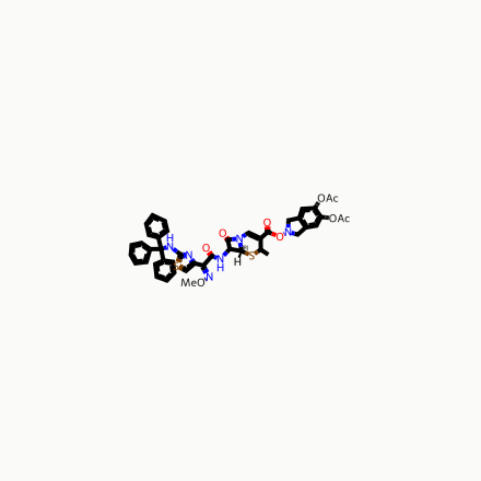 CON=C(C(=O)NC1C(=O)N2C=C(C(=O)ON3Cc4cc(OC(C)=O)c(OC(C)=O)cc4C3)C(C)S[C@H]12)c1csc(NC(c2ccccc2)(c2ccccc2)c2ccccc2)n1